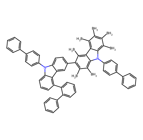 Bc1c(B)c(B)c2c(c1B)c1c(B)c(-c3ccc4c(c3)c3c(-c5ccccc5-c5ccccc5)cccc3n4-c3ccc(-c4ccccc4)cc3)c(B)c(B)c1n2-c1ccc(-c2ccccc2)cc1